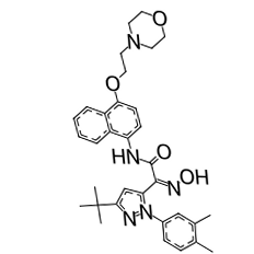 Cc1ccc(-n2nc(C(C)(C)C)cc2/C(=N/O)C(=O)Nc2ccc(OCCN3CCOCC3)c3ccccc23)cc1C